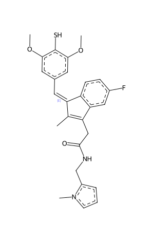 COc1cc(/C=C2/C(C)=C(CC(=O)NCc3cccn3C)c3cc(F)ccc32)cc(OC)c1S